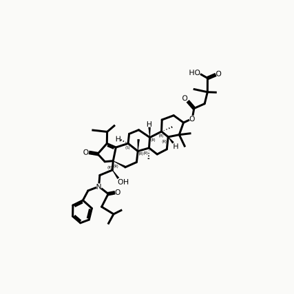 CC(C)CC(=O)N(Cc1ccccc1)C[C@H](O)[C@@]12CC[C@]3(C)[C@H](CC[C@@H]4[C@@]5(C)CCC(OC(=O)CC(C)(C)C(=O)O)C(C)(C)[C@@H]5CC[C@]43C)C1=C(C(C)C)C(=O)C2